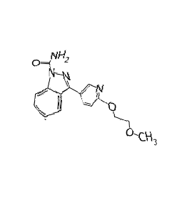 COCCOc1ccc(-c2nn(C(N)=O)c3cc[c]cc23)cn1